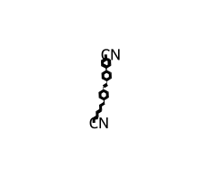 N#CC=CC=CCC[C@H]1CC[C@H](C=C[C@H]2CC[C@H](c3ccc(C#N)cc3)CC2)CC1